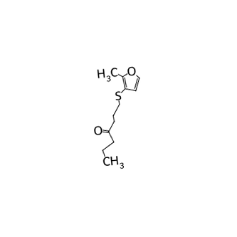 CCCC(=O)CCCSc1ccoc1C